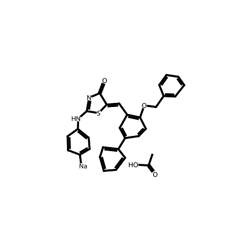 CC(=O)O.O=C1N=C(Nc2cc[c]([Na])cc2)SC1=Cc1cc(-c2ccccc2)ccc1OCc1ccccc1